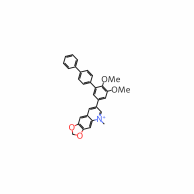 COc1cc(-c2cc3cc4c(cc3[n+](C)c2)OCO4)cc(-c2ccc(-c3ccccc3)cc2)c1OC